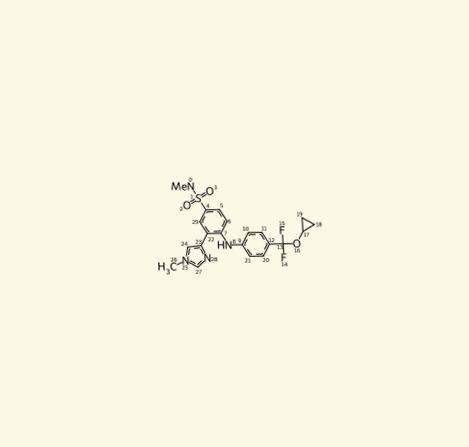 CNS(=O)(=O)c1ccc(Nc2ccc(C(F)(F)OC3CC3)cc2)c(-c2cn(C)cn2)c1